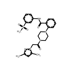 Cc1cc(C)n(CC(=O)N2CCN(c3ccccc3C(=O)Nc3cccc(S(C)(=O)=O)c3)CC2)n1